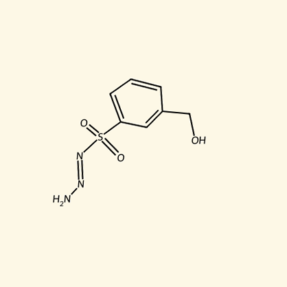 NN=NS(=O)(=O)c1cccc(CO)c1